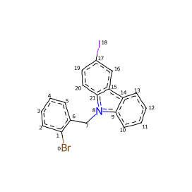 Brc1ccccc1Cn1c2ccccc2c2cc(I)ccc21